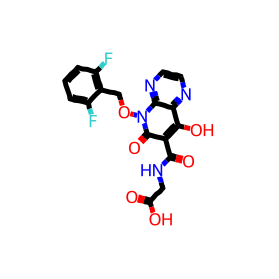 O=C(O)CNC(=O)c1c(O)c2nccnc2n(OCc2c(F)cccc2F)c1=O